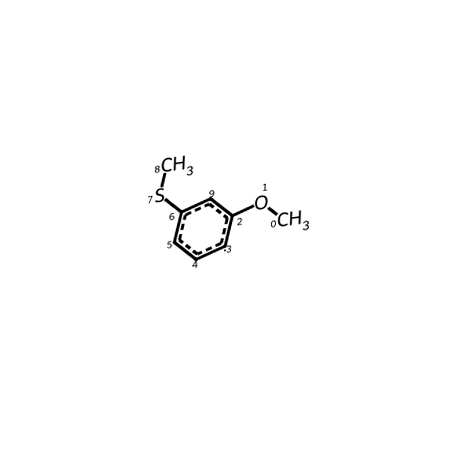 COc1[c]ccc(SC)c1